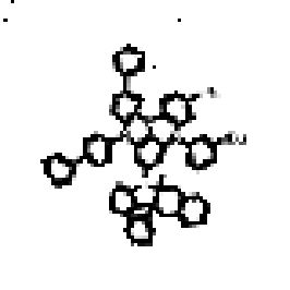 CC(C)(C)c1cccc(N2c3cc(C(C)(C)C)ccc3B3c4cc(-c5ccccc5)ccc4N(c4ccc(-c5ccccc5)cc4)c4cc(N5c6ccccc6C6(c7ccccc7)Cc7ccccc7CC56C)cc2c43)c1